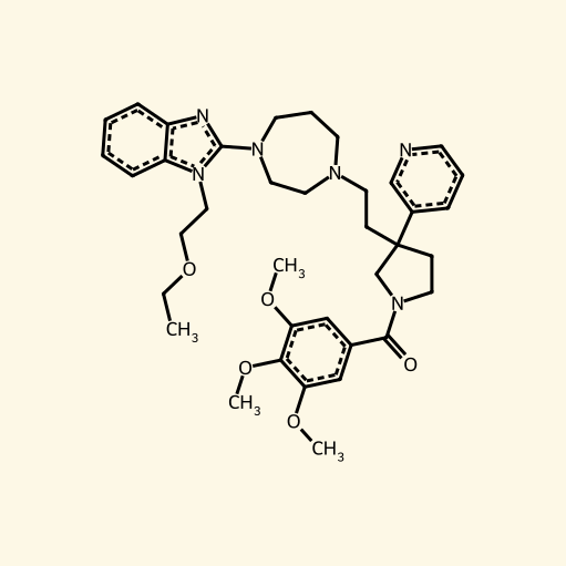 CCOCCn1c(N2CCCN(CCC3(c4cccnc4)CCN(C(=O)c4cc(OC)c(OC)c(OC)c4)C3)CC2)nc2ccccc21